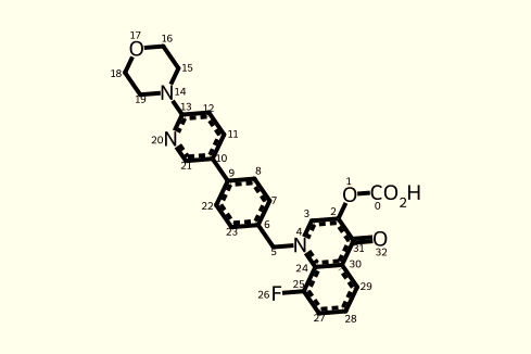 O=C(O)Oc1cn(Cc2ccc(-c3ccc(N4CCOCC4)nc3)cc2)c2c(F)cccc2c1=O